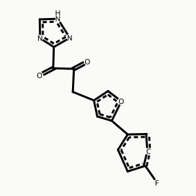 O=C(Cc1coc(-c2ccc(F)cc2)c1)C(=O)c1nc[nH]n1